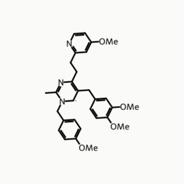 COc1ccc(CN2[CH]C(Cc3ccc(OC)c(OC)c3)=C(CCc3cc(OC)ccn3)N=C2C)cc1